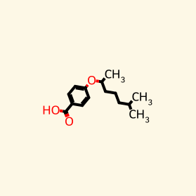 CC(C)CCCC(C)Oc1ccc(C(=O)O)cc1